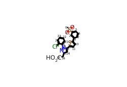 CS(=O)(=O)c1cccc(-c2ccc(-c3cc(CC(=O)O)nn3-c3ccccc3Cl)s2)c1